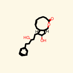 O=C1CCC/C=C\C[C@@H]2C(CC[C@@H](O)CCc3cc#ccc3)[C@H](O)C[C@@H]2CO1